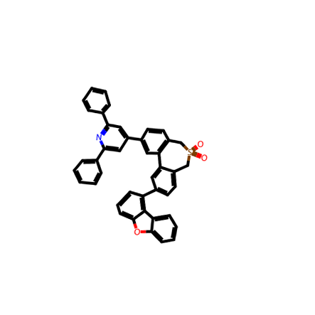 O=S1(=O)Cc2ccc(-c3cc(-c4ccccc4)nc(-c4ccccc4)c3)cc2-c2cc(-c3cccc4oc5ccccc5c34)ccc2C1